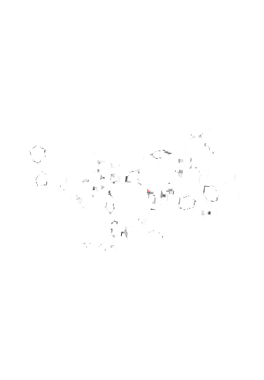 CN[C@H](CC(C)C)C(=O)NC1C(=O)NC(CC(N)=O)C(=O)N[C@H]2C(=O)N[C@H]3C(=O)N[C@H](C(=O)NC(C(=O)O)c4cc(O)cc(O)c4-c4cc3ccc4O)[C@H](OC3C[C@](C)(N)[C@@H](O)[C@H](C)O3)c3ccc(c(Cl)c3)Oc3cc2cc(c3O[C@@H]2O[C@H](CO)[C@@H](O[C@@H]3O[C@H](CNCc4ccc(-c5ccc(F)cc5)s4)[C@H](O)[C@H](O)[C@H]3O)[C@H](O)[C@H]2O)Oc2ccc(cc2Cl)[C@H]1O